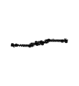 CC1(CCOCCCCCCCCCCCCOc2ccc(/C=C/C(=O)OC3CCC(OC(=O)/C=C/c4ccc(OCCCCCCCCCCCCOCCC5(C)CO5)cc4)CC3)cc2)CO1